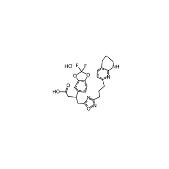 Cl.O=C(O)CC(Cc1nc(CCCc2ccc3c(n2)NCCC3)no1)c1ccc2c(c1)OC(F)(F)O2